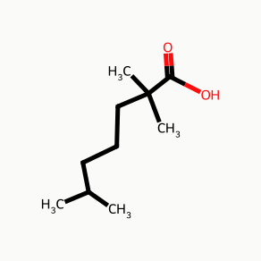 CC(C)CCCC(C)(C)C(=O)O